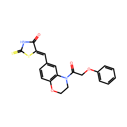 O=C1NC(=S)S/C1=C\c1ccc2c(c1)N(C(=O)COc1ccccc1)CCO2